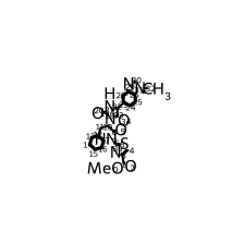 COC(=O)c1csc(NC(=O)C(Cc2ccccc2)N2C(=O)NC(c3ccc4c(c3)ncn4C)C2=O)n1